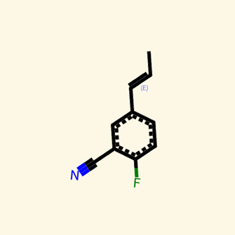 C/C=C/c1ccc(F)c(C#N)c1